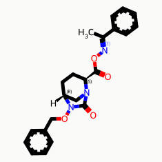 C/C(=N\OC(=O)[C@@H]1CC[C@@H]2CN1C(=O)N2OCc1ccccc1)c1ccccc1